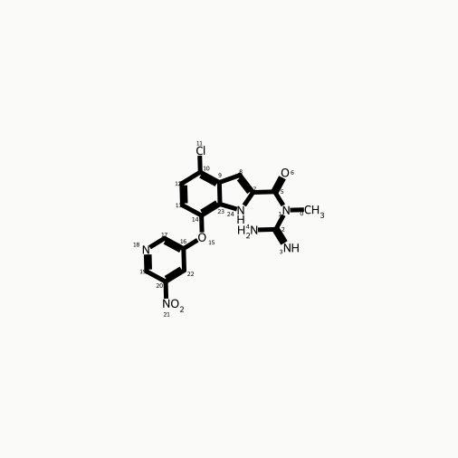 CN(C(=N)N)C(=O)c1cc2c(Cl)ccc(Oc3cncc([N+](=O)[O-])c3)c2[nH]1